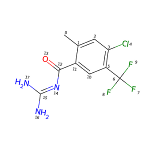 Cc1cc(Cl)c(C(F)(F)F)cc1C(=O)N=C(N)N